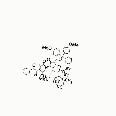 COCCOC1C(OP(CC(=O)OC(C)(C)CC#N)N(C(C)C)C(C)C)C(COC(c2ccccc2)(c2ccc(OC)cc2)c2ccc(OC)cc2)C(=O)C1n1cc(C)c(NC(=O)c2ccccc2)nc1=O